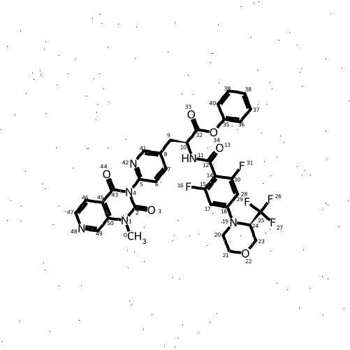 Cn1c(=O)n(-c2ccc(C[C@H](NC(=O)c3c(F)cc(N4CCOC[C@@H]4C(F)(F)F)cc3F)C(=O)Oc3ccccc3)cn2)c(=O)c2ccncc21